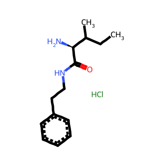 CCC(C)[C@H](N)C(=O)NCCc1ccccc1.Cl